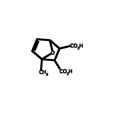 CC12C=CC(O1)C(C(=O)O)C2C(=O)O